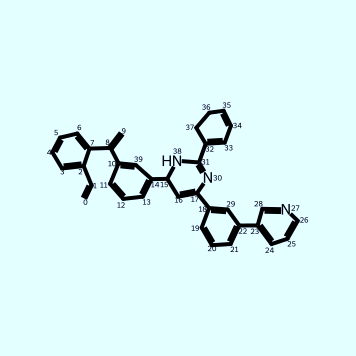 C=Cc1ccccc1C(=C)c1cccc(C2C=C(c3cccc(-c4cccnc4)c3)N=C(C3=CC=CCC3)N2)c1